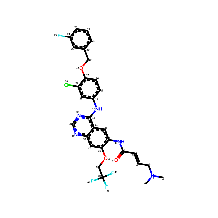 CN(C)C/C=C/C(=O)Nc1cc2c(Nc3ccc(OCc4cccc(F)c4)c(Cl)c3)ncnc2cc1OCC(F)(F)F